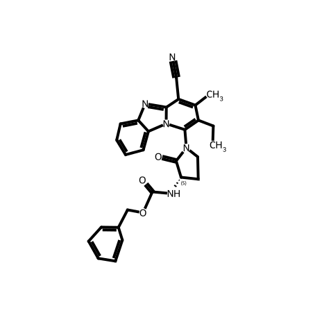 CCc1c(C)c(C#N)c2nc3ccccc3n2c1N1CC[C@H](NC(=O)OCc2ccccc2)C1=O